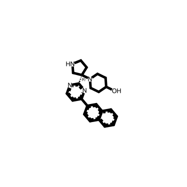 OC1CCN([C@]2(c3nccc(-c4ccc5ccccc5c4)n3)CCNC2)CC1